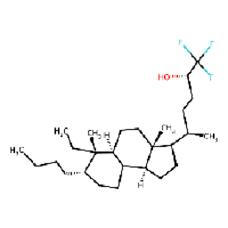 CCCC[C@H]1CCC2[C@H](CC[C@]3(C)[C@@H]([C@H](C)CC[C@H](O)C(F)(F)F)CC[C@@H]23)[C@@]1(C)CC